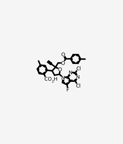 C#CC1(COC(=O)c2ccc(C)cc2)OC(n2cc(F)c3c(Cl)nc(Cl)nc32)CC1c1cc(C)ccc1C(=O)O